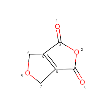 O=C1OC(=O)C2=C1COC2